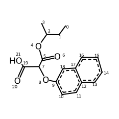 CCC(C)OC(=O)C(Oc1ccc2ccccc2c1)C(=O)O